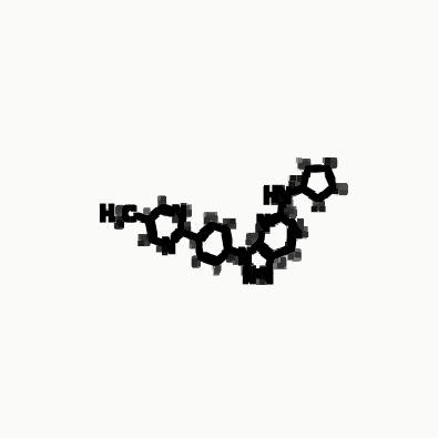 Cc1cnc(-c2ccc(-n3nnc4cnc(NC5CCCC5)nc43)cc2)nc1